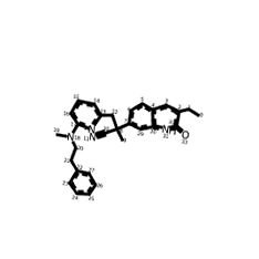 CCc1cc2ccc(C(C)(C#N)Cc3cccc(N(C)CCc4ccccc4)n3)cc2[nH]c1=O